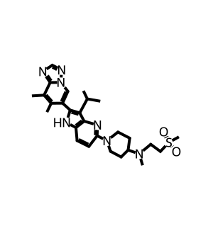 Cc1c(-c2[nH]c3ccc(N4CCC(N(C)CCS(C)(=O)=O)CC4)nc3c2C(C)C)cn2ncnc2c1C